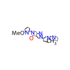 C\C=C/C(=C\N=C\N1CCCC1)n1cc2c(n1)CN(c1cccc(OC)n1)C2=O